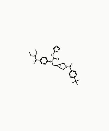 CCN(CC)C(=O)c1ccc(N(CC2C3CN(C(=O)c4ccc(C(C)(C)C)cc4)CC32)C(=O)Oc2cccs2)cc1